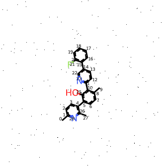 Cc1ccc(-c2ccc(C)c(-c3ccc(-c4ccccc4F)cn3)c2O)c(C)n1